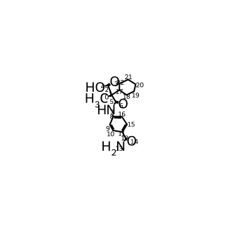 CC(C(=O)O)(C(=O)Nc1ccc(C(N)=O)cc1)C1CCCCC1